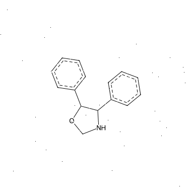 c1ccc(C2NCOC2c2ccccc2)cc1